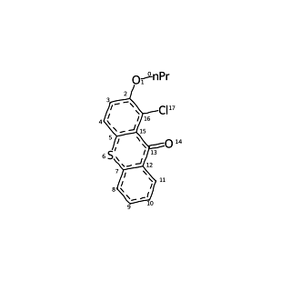 CCCOc1ccc2sc3ccccc3c(=O)c2c1Cl